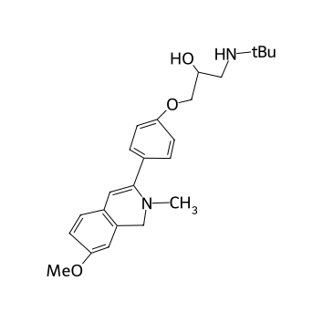 COc1ccc2c(c1)CN(C)C(c1ccc(OCC(O)CNC(C)(C)C)cc1)=C2